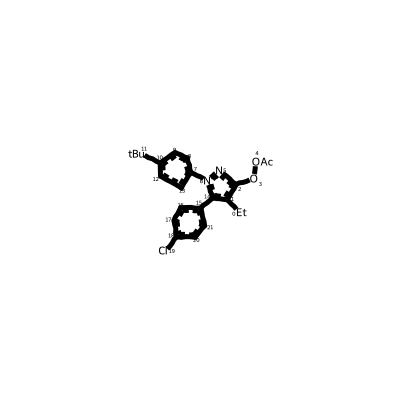 CCc1c(OOC(C)=O)nn(-c2ccc(C(C)(C)C)cc2)c1-c1ccc(Cl)cc1